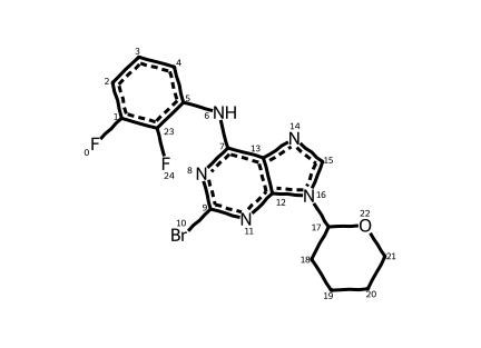 Fc1cccc(Nc2nc(Br)nc3c2ncn3C2CCCCO2)c1F